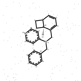 C1=CC2CC[C@@H]2C(CN(Cc2ccccc2)c2ccncc2)=C1